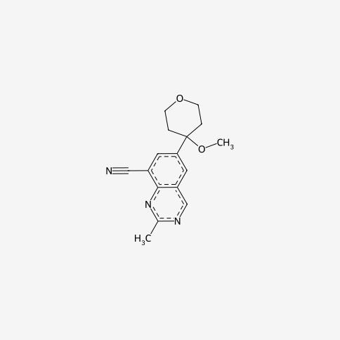 COC1(c2cc(C#N)c3nc(C)ncc3c2)CCOCC1